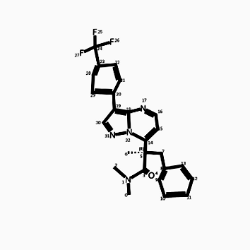 CN(C)C(=O)[C@](C)(Cc1ccccc1)c1ccnc2c(-c3ccc(C(F)(F)F)cc3)cnn12